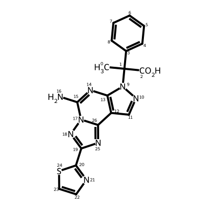 CC(C(=O)O)(c1ccccc1)n1ncc2c1nc(N)n1nc(-c3nccs3)nc21